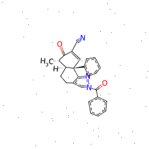 C[C@@H]1C(=O)C(C#N)=C[C@]2(c3ccccc3)c3nn(C(=O)c4ccccc4)cc3CC[C@@H]12